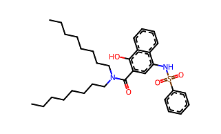 CCCCCCCCN(CCCCCCCC)C(=O)c1cc(NS(=O)(=O)c2ccccc2)c2ccccc2c1O